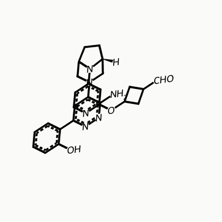 Nc1nnc(-c2ccccc2O)cc1N1CC2CC[C@H](C1)N2c1ccnc(OC2CC(C=O)C2)c1